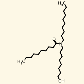 CCCCCCCCCCN(CCCCCCCCO)C(=O)CCCCCCCCC